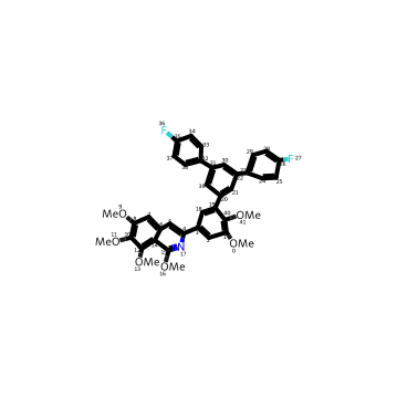 COc1cc(-c2cc3cc(OC)c(OC)c(OC)c3c(OC)n2)cc(-c2cc(-c3ccc(F)cc3)cc(-c3ccc(F)cc3)c2)c1OC